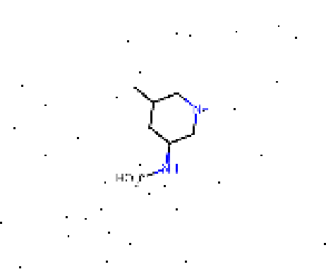 CC1CNC[C@@H](NC(=O)O)C1